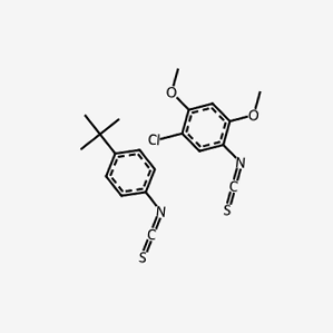 CC(C)(C)c1ccc(N=C=S)cc1.COc1cc(OC)c(N=C=S)cc1Cl